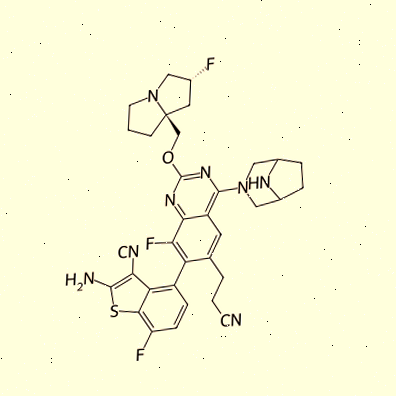 N#CCCc1cc2c(N3CC4CCC(C3)N4)nc(OC[C@@]34CCCN3C[C@H](F)C4)nc2c(F)c1-c1ccc(F)c2sc(N)c(C#N)c12